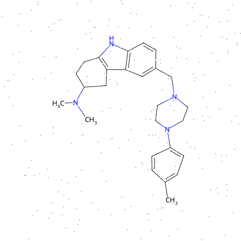 Cc1ccc(N2CCN(Cc3ccc4[nH]c5c(c4c3)CC(N(C)C)CC5)CC2)cc1